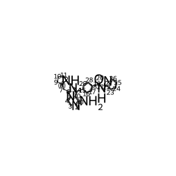 Nc1nccn2c(C[C@H]3CCCN3)nc(-c3ccc(C(=O)Nc4ccccn4)cc3)c12